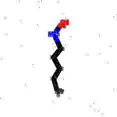 CCCCCCCNO